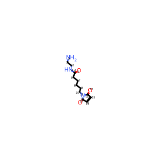 NCCNC(=O)CCCCCN1C(=O)C=CC1=O